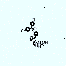 C[C@H](O)CNc1nccc(-n2ccnc2Cc2cccc(NC(=O)C(c3ccc(Cl)cc3)c3ccc(Cl)cc3)c2)n1